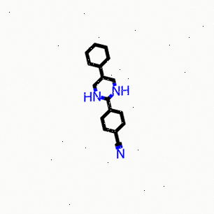 N#CC1CCC(C2NCC(C3CCCCC3)CN2)CC1